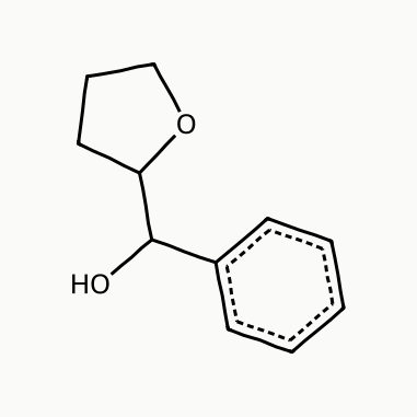 OC(c1ccccc1)C1CCCO1